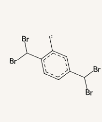 [CH]c1cc(C(Br)Br)ccc1C(Br)Br